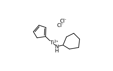 C1=CC[C]([Ti+2][NH]C2CCCCC2)=C1.[Cl-].[Cl-]